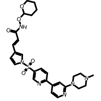 CN1CCN(c2cc(-c3ccc(S(=O)(=O)n4ccc(C=CC(=O)NOC5CCCCO5)c4)cn3)ccn2)CC1